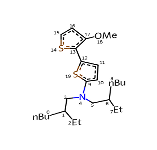 CCCCC(CC)CN(CC(CC)CCCC)c1ccc(-c2sccc2OC)s1